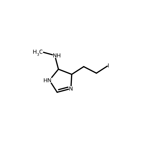 CNC1NC=NC1CCI